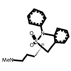 CNCCC[C@H]1Cc2ccccc2N(c2ccccc2)S1(=O)=O